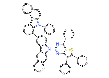 c1ccc(-c2sc3c(-c4ccccc4)nc(-n4c5ccc(-c6cccc7c8c9ccccc9ccc8n(-c8ccccc8)c67)cc5c5cc6ccccc6cc54)nc3c2-c2ccccc2)cc1